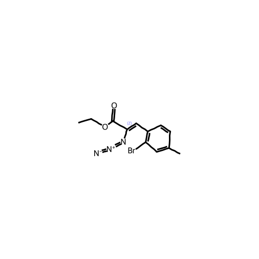 CCOC(=O)/C(=C/c1ccc(C)cc1Br)N=[N+]=[N-]